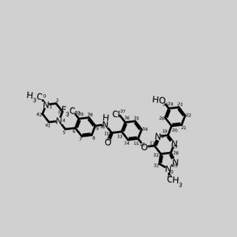 CN1CCN(Cc2ccc(NC(=O)c3cc(Oc4nc(-c5cccc(O)c5)nc5nn(C)cc45)ccc3Cl)cc2C(F)(F)F)CC1